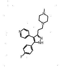 CN1CCN(CCc2n[nH]c(-c3ccc(F)cc3)c2-c2ccncc2)CC1